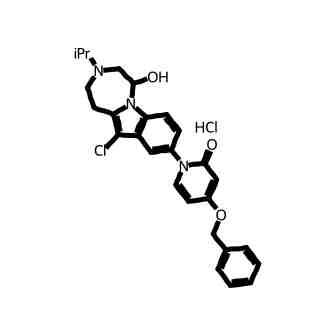 CC(C)N1CCc2c(Cl)c3cc(-n4ccc(OCc5ccccc5)cc4=O)ccc3n2C(O)C1.Cl